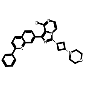 Clc1nccn2c1c(-c1ccc3ccc(-c4ccccc4)nc3c1)nc2[C@H]1C[C@@H](N2CCOCC2)C1